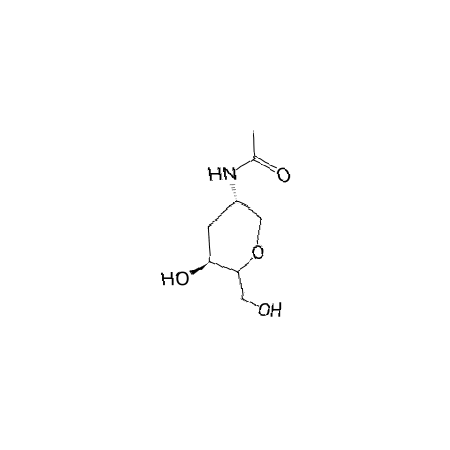 CC(=O)N[C@@H]1COC(CO)[C@@H](O)C1